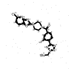 CC(C)(C)Cn1nnc(-c2ccc(C(=O)N3CCN(c4nc5nc(Cl)ccc5o4)CC3)cc2F)n1